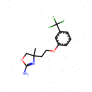 CC1(CCOc2cccc(C(F)(F)F)c2)COC(N)=N1